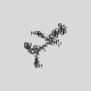 CN(CC(=O)ON1C(=O)CCC1=O)S(=O)(=O)c1ccc2c(c1)C(C)(C)C(/C=C/C=C/C=C/C=C1/N(CCCSOOO)c3ccc(SOOO)cc3C1(C)C)=[N+]2CCCSOOO